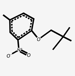 Cc1ccc(OCC(C)(C)C)c([N+](=O)[O-])c1